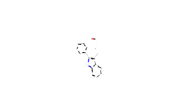 COc1cc(-c2[nH]c3ccc(I)cc3c2CCCC(=O)O)ccc1Cl